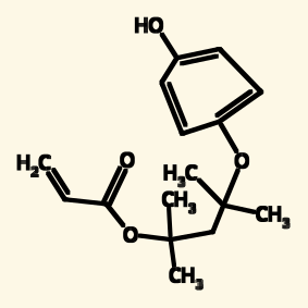 C=CC(=O)OC(C)(C)CC(C)(C)Oc1ccc(O)cc1